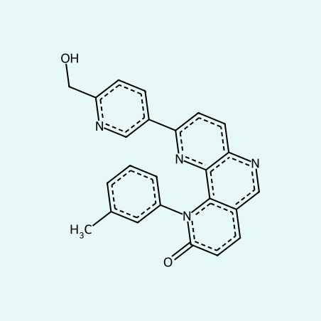 Cc1cccc(-n2c(=O)ccc3cnc4ccc(-c5ccc(CO)nc5)nc4c32)c1